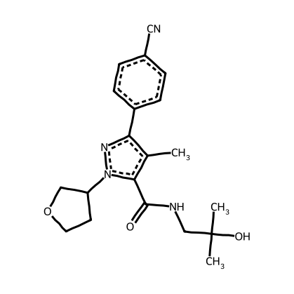 Cc1c(-c2ccc(C#N)cc2)nn(C2CCOC2)c1C(=O)NCC(C)(C)O